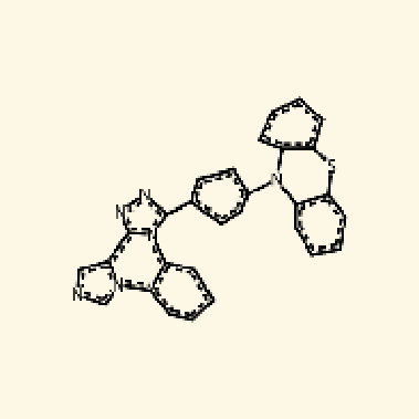 c1ccc2c(c1)Sc1ccccc1N2c1ccc(-c2nnc3c4cncn4c4ccccc4n23)cc1